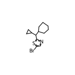 Brc1cnc(C(C2CCCCC2)C2CC2)s1